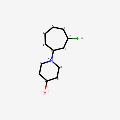 OC1CCN(C2CCCCC(F)C2)CC1